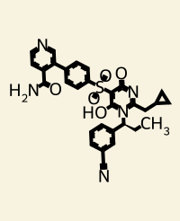 CC[C@@H](c1cccc(C#N)c1)n1c(CC2CC2)nc(=O)c(S(=O)(=O)c2ccc(-c3cnccc3C(N)=O)cc2)c1O